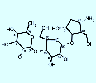 C[C@H]1O[C@@H](O[C@H]2[C@H](O)[C@@H](O)[C@@H](OC3[C@H](O)C[C@H](N)[C@H]3CO)O[C@@H]2CO)[C@H](O)[C@@H](O)[C@@H]1O